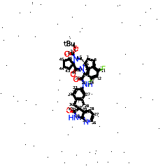 CC(C)(C)OC(=O)N1C[C@@]2(CCc3c(F)cc(F)cc32)N(CC(=O)Nc2ccc3c(c2)C[C@@]2(C3)C(=O)Nc3ncccc32)C(=O)C12CCCC2